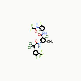 Cc1cc(NC(=O)[C@H]2[C@H](c3ccc(F)c(C(F)(F)F)c3)C2(Cl)Cl)cc(C(=O)Nc2ccc(F)c(NC(=O)C(F)F)c2F)c1Cl